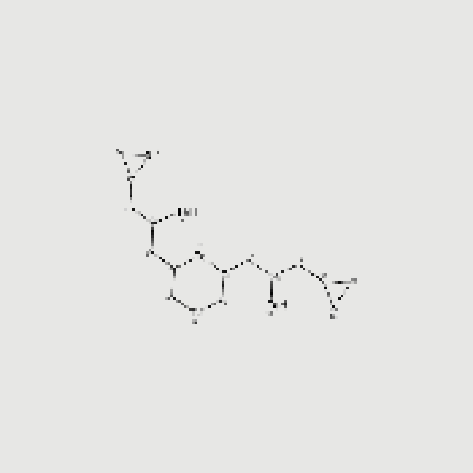 [TeH]C(CC1CS1)CC1C[Te]CC(CC([TeH])CC2CS2)[Te]1